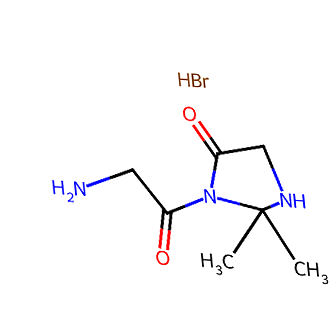 Br.CC1(C)NCC(=O)N1C(=O)CN